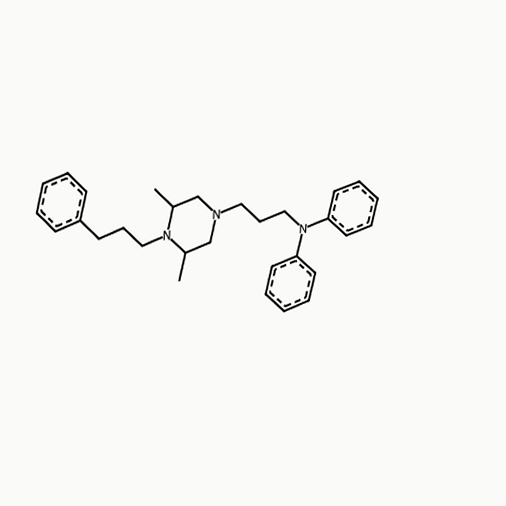 CC1CN(CCCN(c2ccccc2)c2ccccc2)CC(C)N1CCCc1ccccc1